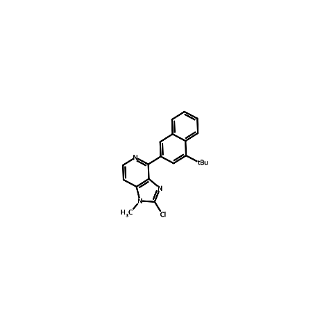 Cn1c(Cl)nc2c(-c3cc(C(C)(C)C)c4ccccc4c3)nccc21